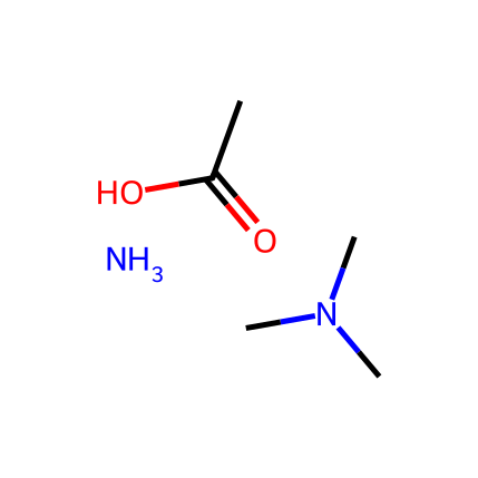 CC(=O)O.CN(C)C.N